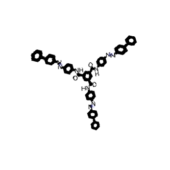 O=C(Nc1ccc(/N=N/c2ccc(-c3ccccc3)cc2)cc1)c1cc(C(=O)Nc2ccc(/N=N/c3ccc(-c4ccccc4)cc3)cc2)cc(C(=O)Nc2ccc(/N=N/c3ccc(-c4ccccc4)cc3)cc2)c1